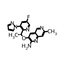 Cc1cc2nc(N)c(O[C@@H](C)c3ncc(F)cc3-n3cccn3)cc2cn1